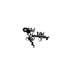 CCCCCOC(=O)[C@@H](Cc1c[nH]c2ccccc12)NC(=O)CC[C@@H](N)C(=O)OCCC(C)C